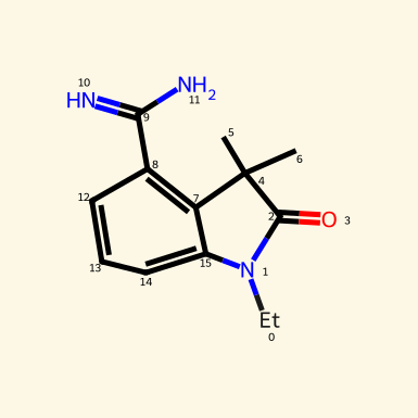 CCN1C(=O)C(C)(C)c2c(C(=N)N)cccc21